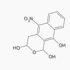 O=[N+]([O-])c1c2c(c(O)c3ccccc13)C(O)OC(O)C2